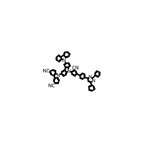 N#Cc1ccc2c(c1)c1cc(C#N)ccc1n2-c1ccc2c(c1)c1cc(-n3c4ccccc4c4ccccc43)ccc1n2-c1ccc(-c2ccc(-c3cc(-c4ccccc4)nc(-c4ccccc4)n3)cc2)cc1C#N